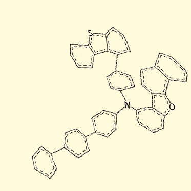 c1ccc(-c2ccc(-c3ccc(N(c4ccc(-c5cccc6sc7ccccc7c56)cc4)c4cccc5oc6c7ccccc7ccc6c45)cc3)cc2)cc1